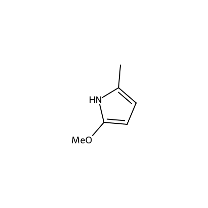 COc1ccc(C)[nH]1